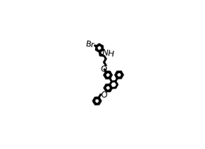 Brc1ccc2[nH]c(CCCOc3ccc(C4c5ccc(OCc6ccccc6)cc5CCC4c4ccccc4)cc3)cc2c1